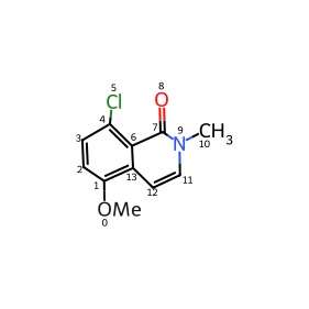 COc1ccc(Cl)c2c(=O)n(C)ccc12